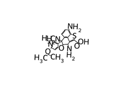 Cc1nc(OC(C)C)ccc1C1(N)C(=O)C(N)c2c(C(=O)O)sc3c(N)ccc1c23